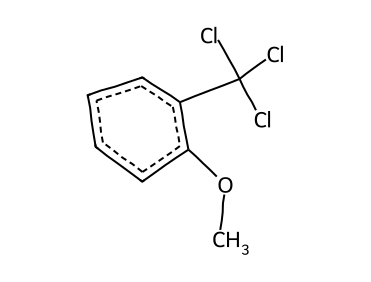 COc1ccccc1C(Cl)(Cl)Cl